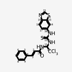 O=C(C=Cc1ccccc1)NC(NC(=S)Nc1ccc2ncsc2c1)C(Cl)(Cl)Cl